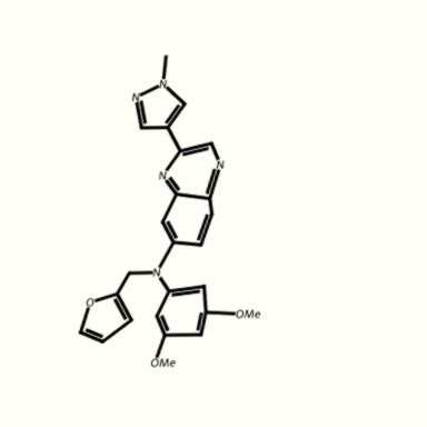 COc1cc(OC)cc(N(Cc2ccco2)c2ccc3ncc(-c4cnn(C)c4)nc3c2)c1